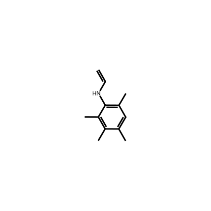 C=CNc1c(C)cc(C)c(C)c1C